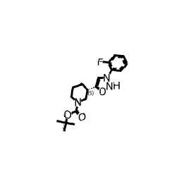 CC(C)(C)OC(=O)N1CCC[C@H](C2=CN(c3ccccc3F)NO2)C1